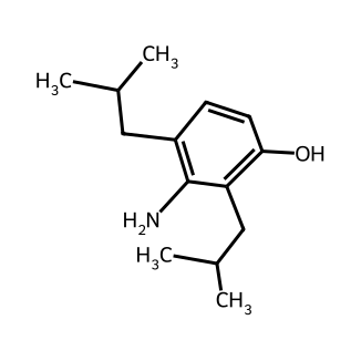 CC(C)Cc1ccc(O)c(CC(C)C)c1N